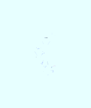 Cc1ccc(-c2nccc(-c3cc4n(n3)CCNC4=O)n2)cc1F